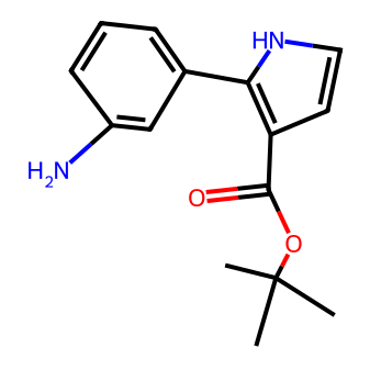 CC(C)(C)OC(=O)c1cc[nH]c1-c1cccc(N)c1